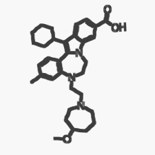 COC1CCCN(CCN2CCn3c(c(C4CCCCC4)c4ccc(C(=O)O)cc43)-c3ccc(C)cc32)CC1